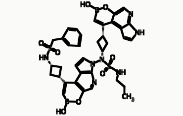 CCCNS(=O)(=O)N([C@H]1C[C@@H](C2=CB(O)Oc3cnc4[nH]ccc4c32)C1)n1ccc2c3c(cnc21)OB(O)C=C3[C@H]1C[C@@H](NS(=O)(=O)Cc2ccccc2)C1